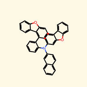 c1ccc(N(c2ccc3ccccc3c2)c2ccc3c(c2)oc2ccccc23)c(-c2cccc3oc4ccccc4c23)c1